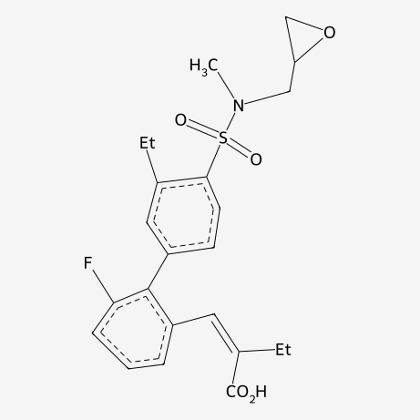 CCC(=Cc1cccc(F)c1-c1ccc(S(=O)(=O)N(C)CC2CO2)c(CC)c1)C(=O)O